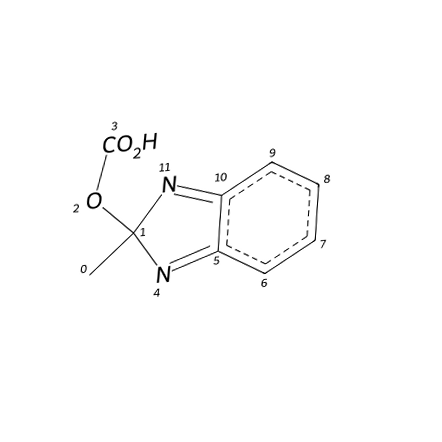 CC1(OC(=O)O)N=c2ccccc2=N1